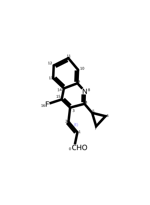 O=C/C=C/c1c(C2CC2)nc2ccccc2c1F